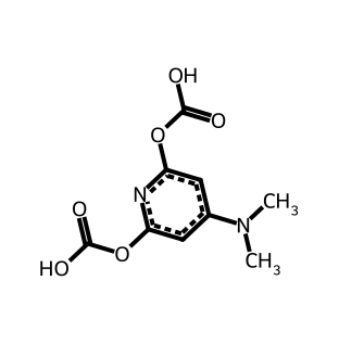 CN(C)c1cc(OC(=O)O)nc(OC(=O)O)c1